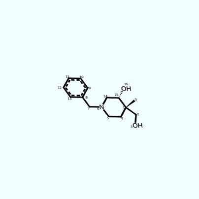 C[C@@]1(CO)CCN(Cc2ccccc2)C[C@@H]1O